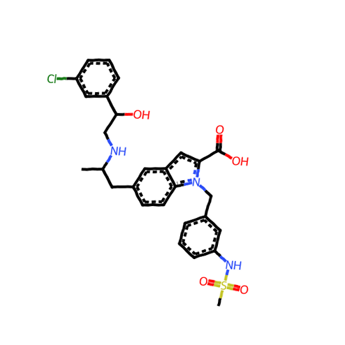 CC(Cc1ccc2c(c1)cc(C(=O)O)n2Cc1cccc(NS(C)(=O)=O)c1)NCC(O)c1cccc(Cl)c1